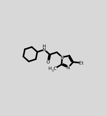 CCc1cn(CC(=O)NC2CCCCC2)c(C)n1